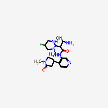 CN1CCC(c2ccncc2NC(=O)C(C(N)N=O)C2NCC(F)CN2C)CC1=O